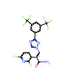 NC(=O)/C(=C/n1cnc(-c2cc(C(F)(F)F)cc(C(F)(F)F)c2)n1)c1ccc(F)nc1F